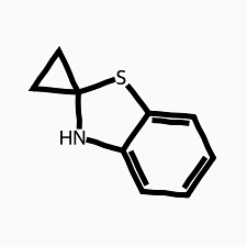 c1ccc2c(c1)NC1(CC1)S2